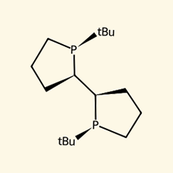 CC(C)(C)[P@]1CCC[C@@H]1[C@H]1CCC[P@@]1C(C)(C)C